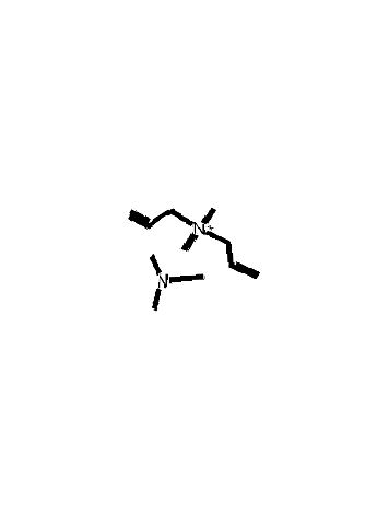 C=CC[N+](C)(C)CC=C.CN(C)C